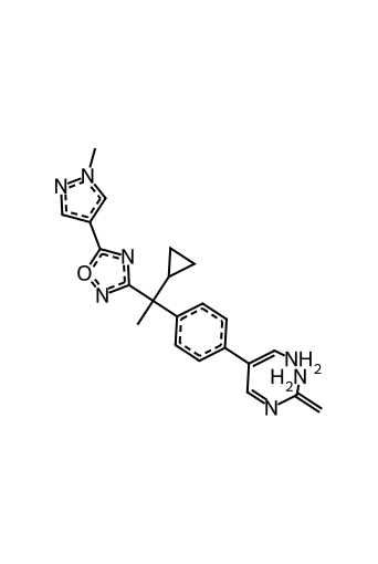 C=C(N)/N=C\C(=C/N)c1ccc(C(C)(c2noc(-c3cnn(C)c3)n2)C2CC2)cc1